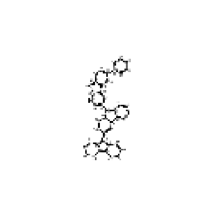 C1=Cc2c(c3c(n2C2=CC4c5ccccc5N(c5cnc6sc7ccc(-c8ccccc8)cc7c6c5)C4C=C2)C=CCC3)CC1